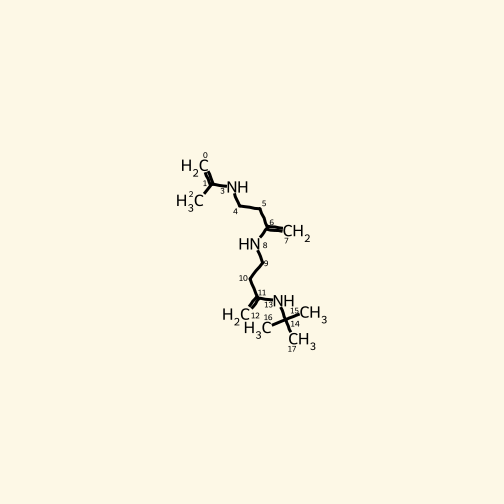 C=C(C)NCCC(=C)NCCC(=C)NC(C)(C)C